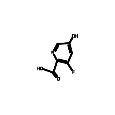 O=C(O)c1ncc(O)cc1F